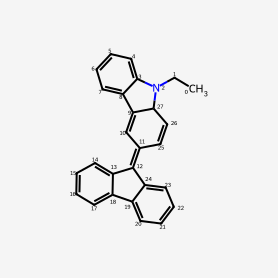 CCN1c2ccccc2C2=CC(=C3c4ccccc4-c4ccccc43)C=CC21